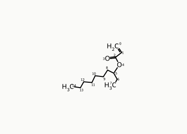 C=CC(=O)OC(CC)CCCCCCC